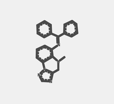 CN1Cc2ncnn2-c2cccc(N=C(c3ccccc3)c3ccccc3)c21